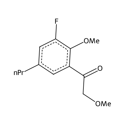 CCCc1cc(F)c(OC)c(C(=O)COC)c1